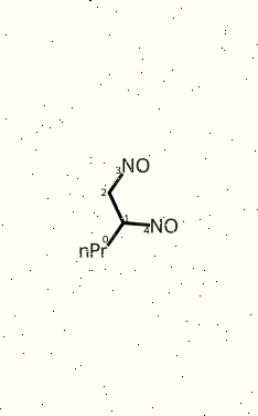 CCCC(CN=O)N=O